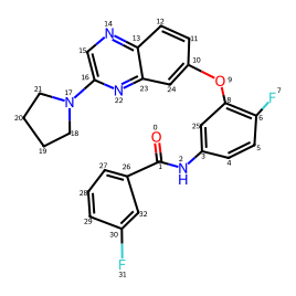 O=C(Nc1ccc(F)c(Oc2ccc3ncc(N4CCCC4)nc3c2)c1)c1cccc(F)c1